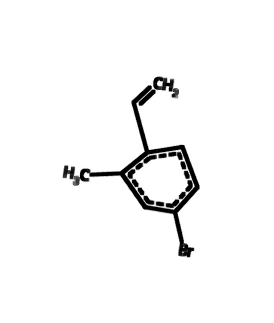 C=Cc1ccc(Br)cc1C